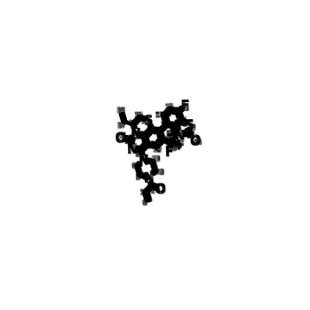 C=CC(=O)N1CCN(c2nc(=O)n3c4c(c(-c5ccc(F)c6sc(=O)[nH]c56)c(C(F)(F)F)cc24)SC[C@@H]3CC)CC1